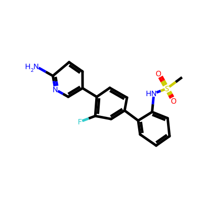 CS(=O)(=O)Nc1ccccc1-c1ccc(-c2ccc(N)nc2)c(F)c1